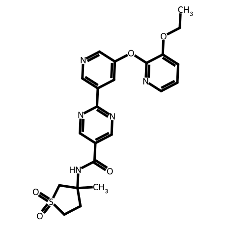 CCOc1cccnc1Oc1cncc(-c2ncc(C(=O)NC3(C)CCS(=O)(=O)C3)cn2)c1